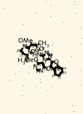 COc1ncnc(OC)c1-n1c(NS(=O)(=O)[C@@H](C)[C@H](OC)c2nccc(C)n2)nnc1[C@@H]1Cc2ccccc2O1